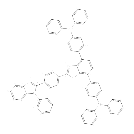 c1ccc(N(c2ccccc2)c2ccc(-c3ccc(-c4ccc(N(c5ccccc5)c5ccccc5)cc4)c4sc(-c5ccc(-c6nc7ccccc7n6-c6ccccc6)cc5)nc34)cc2)cc1